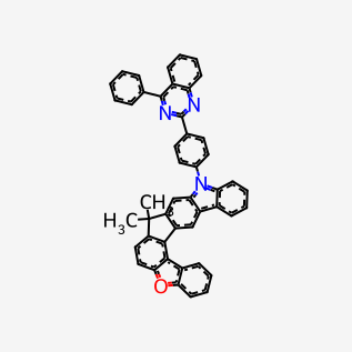 CC1(C)c2cc3c(cc2-c2c1ccc1oc4ccccc4c21)c1ccccc1n3-c1ccc(-c2nc(-c3ccccc3)c3ccccc3n2)cc1